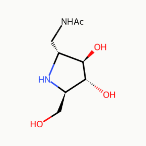 CC(=O)NC[C@H]1N[C@H](CO)[C@@H](O)[C@@H]1O